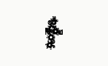 Cc1ccccc1O[C@H]1CC[C@H](c2nnc3n2-c2ccc(Cl)cc2CN(C(=O)OC(C)(C)C)C3)CC1